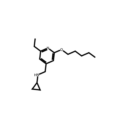 CCCCCOc1cc(CNC2CC2)cc(CC)n1